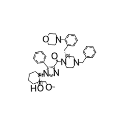 COC[C@]1(O)CCCC[C@H]1n1cnc(C(=O)N2CCN(Cc3ccccc3)C[C@H]2Cc2ccccc2N2CCOCC2)c1-c1ccccc1